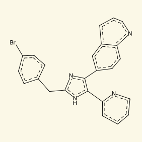 Brc1ccc(Cc2nc(-c3ccc4ncccc4c3)c(-c3ccccn3)[nH]2)cc1